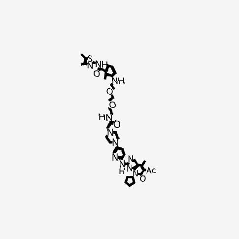 CC(=O)c1c(C)c2cnc(Nc3ccc(N4CCN(CC(=O)NCCOCCOCCNc5cccc(C(=O)Nc6nc(C)c(C)s6)c5C)CC4)cn3)nc2n(C2CCCC2)c1=O